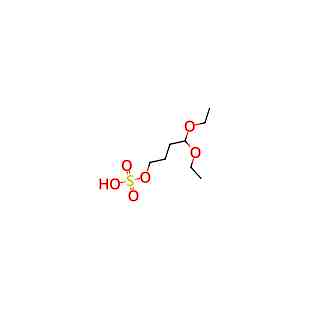 CCOC(CCCOS(=O)(=O)O)OCC